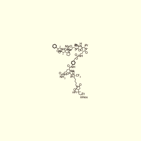 CCCCCC[C@@H](CC)CC(C)(CCC)C1CC(=O)N(CCCCC[C@H](N[C@H](C(=O)N[C@@H](CCCNC(N)=O)C(=O)Nc2ccc(COC(=O)NCCCC(=O)N(C)[C@H](C(=O)N[C@H](C(=O)N(C)[C@@H]([C@@H](C)CC)[C@@H](CC(=O)N3CCC[C@H]3[C@H](OC)[C@@H](C)C(=O)N[C@H](C)[C@@H](O)c3ccccc3)OC)C(C)C)C(C)C)cc2)C(C)C)C(F)(F)F)C1=O